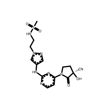 CS(=O)(=O)NCCn1cc(Nc2nccc(N3CC[C@](O)(C#N)C3=O)n2)cn1